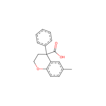 Cc1ccc2c(c1)C(C(=O)O)(c1ccccc1)CCO2